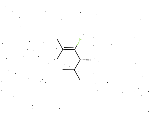 CC(C)=C(F)[C@H](C)C(C)C